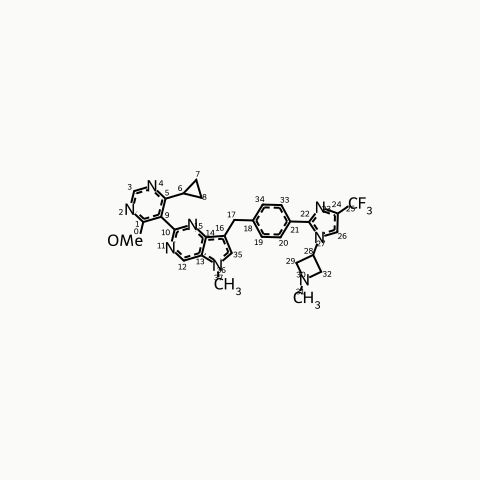 COc1ncnc(C2CC2)c1-c1ncc2c(n1)c(Cc1ccc(-c3nc(C(F)(F)F)cn3C3CN(C)C3)cc1)cn2C